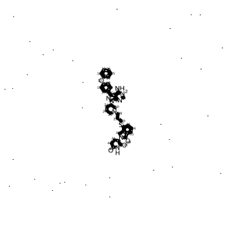 Nc1ncnc2c1c(-c1ccc(Oc3ccccc3)cc1)nn2[C@@H]1CCCN(CCCSc2cccc3c2CN(C2CCC(=O)NC2=O)C3=O)C1